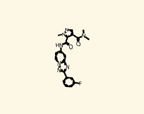 CN(C)C(=O)c1cnn(C)c1C(=O)Nc1ccn2nc(-c3cccc(F)c3)nc2c1